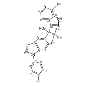 OC(c1ccc2c(cnn2-c2ccc(F)cc2)c1)(c1c[nH]c2c(F)cccc12)C(F)(F)F